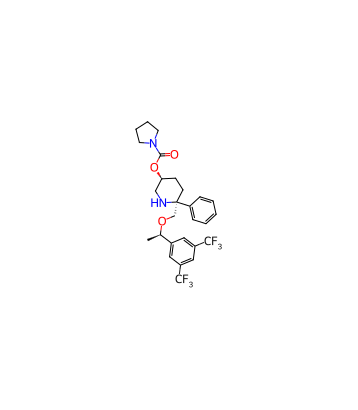 C[C@@H](OC[C@@]1(c2ccccc2)CC[C@H](OC(=O)N2CCCC2)CN1)c1cc(C(F)(F)F)cc(C(F)(F)F)c1